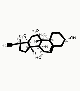 C#C[C@]1(O)CC[C@H]2[C@@H]3[C@@H](O)C=C4C[C@@H](O)CC[C@]4(C)[C@H]3CC[C@@]21C.O